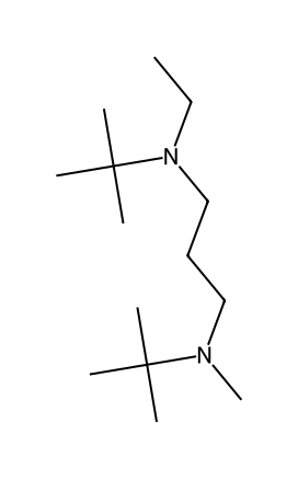 CCN(CCCN(C)C(C)(C)C)C(C)(C)C